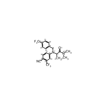 CC(C(=O)N(C)C)N(Cc1ccc(C(F)(F)F)cc1)c1ccc(C#N)c(C(F)(F)F)c1